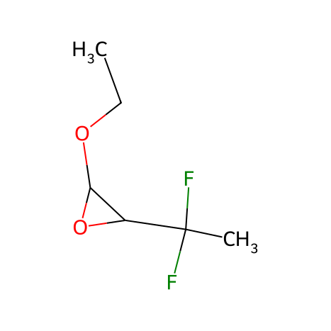 CCOC1OC1C(C)(F)F